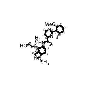 COc1cccc(F)c1-c1nccc(C(=O)Nc2ccc3c(cnn3C)c2N(C)CCO)n1